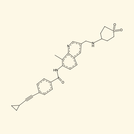 Cc1c(NC(=O)c2ccc(C#CC3CC3)cc2)ccc2cc(CNC3CCS(=O)(=O)CC3)cnc12